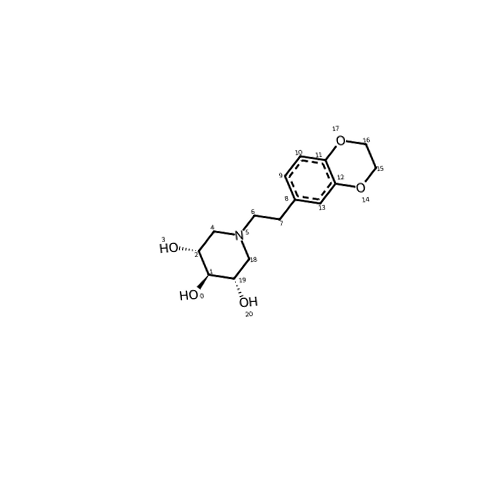 O[C@H]1[C@H](O)CN(CCc2ccc3c(c2)OCCO3)C[C@@H]1O